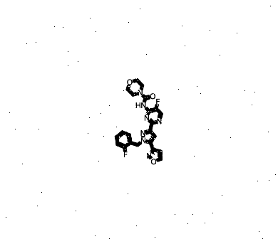 O=C(Nc1nc(-c2cc(-c3ccon3)n(Cc3ccccc3F)n2)ncc1F)N1CCOCC1